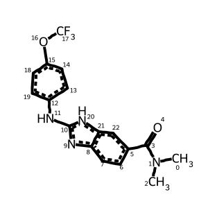 CN(C)C(=O)c1ccc2nc(Nc3ccc(OC(F)(F)F)cc3)[nH]c2c1